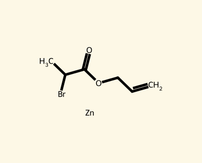 C=CCOC(=O)C(C)Br.[Zn]